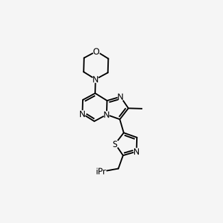 Cc1nc2c(N3CCOCC3)cncn2c1-c1cnc(CC(C)C)s1